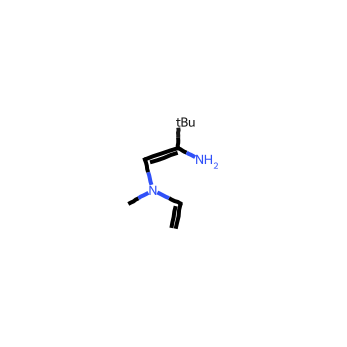 C=CN(C)/C=C(\N)C(C)(C)C